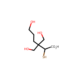 O=C(O)C(S)C(CO)(CO)CCCO